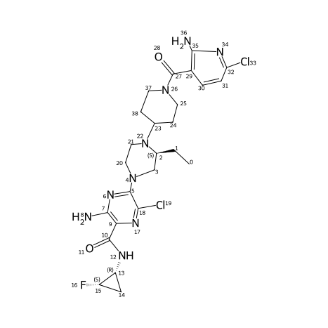 CC[C@H]1CN(c2nc(N)c(C(=O)N[C@@H]3C[C@@H]3F)nc2Cl)CCN1C1CCN(C(=O)c2ccc(Cl)nc2N)CC1